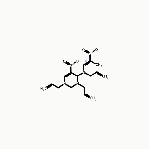 C=CCN1C=C([N+](=O)[O-])C(N(/C=C(\C)[N+](=O)[O-])CC=C)N(CC=C)C1